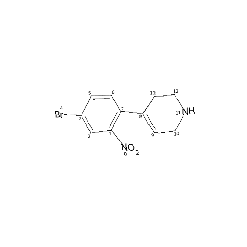 O=[N+]([O-])c1cc(Br)ccc1C1=CCNCC1